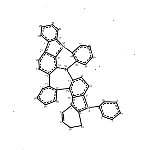 C1=Cc2c(n(-c3ccccc3)c3ccc4c(c23)-c2ccccc2-c2ccc3c5ccccc5n5c3c2N4c2ccccc2-5)CC1